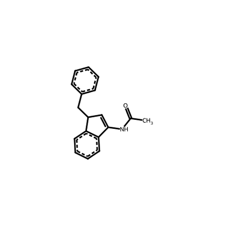 CC(=O)NC1=CC(Cc2ccccc2)c2ccccc21